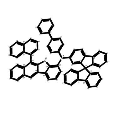 c1ccc(-c2ccc(N(c3ccc4c(c3)C3(c5ccccc5-c5ccccc53)c3ccccc3-4)c3cccc4c3oc3c(-c5cccc6ccccc56)c5ccccc5cc34)cc2)cc1